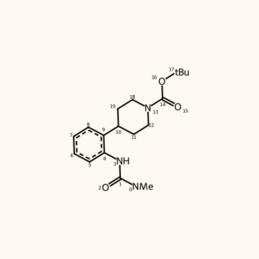 CNC(=O)Nc1ccccc1C1CCN(C(=O)OC(C)(C)C)CC1